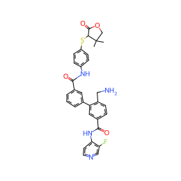 CC1(C)COC(=O)C1Sc1ccc(NC(=O)c2cccc(-c3cc(C(=O)Nc4ccncc4F)ccc3CN)c2)cc1